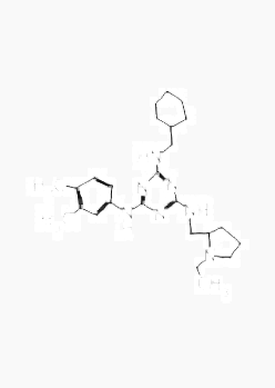 CCN1CCCC1CNc1nc(NCC2CCCCC2)nc(Nc2ccc(C)c(C)c2)n1